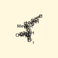 COC(=O)[C@H](CCNC(=O)C(=O)Nc1ccc(CCCl)cc1)NC(=O)c1ccc(Nc2nc(NC3(c4ccc(Cl)cc4)CC3)nc(OCC(F)(F)F)n2)cc1